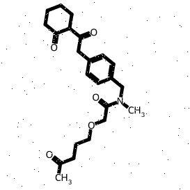 CC(=O)CCCOCC(=O)N(C)Cc1ccc(CC(=O)C2CCCCC2=O)cc1